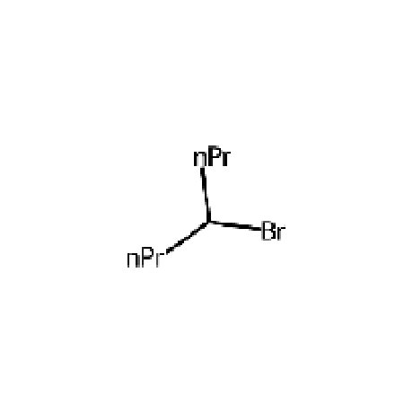 [CH2]CCC(Br)CCC